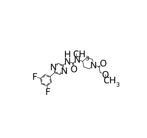 COCC(=O)N1CCC(N(C)C(=O)Nc2cnc(-c3cc(F)cc(F)c3)cn2)CC1